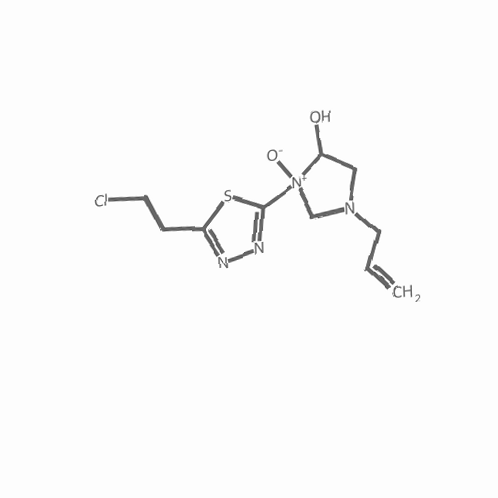 C=CCN1CC(O)[N+]([O-])(c2nnc(CCCl)s2)C1